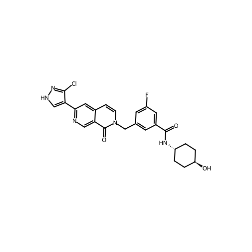 O=C(N[C@H]1CC[C@H](O)CC1)c1cc(F)cc(Cn2ccc3cc(-c4c[nH]nc4Cl)ncc3c2=O)c1